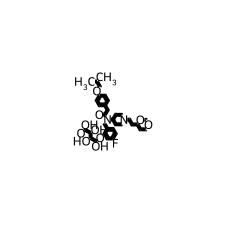 CC(C)COc1ccc(CC(=O)N(Cc2ccc(F)cc2)C2CCN(CCC3CCOCO3)CC2)cc1.O=C(O)C(O)C(O)C(=O)O